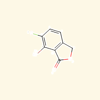 O=C1OCc2ccc(F)c(Br)c21